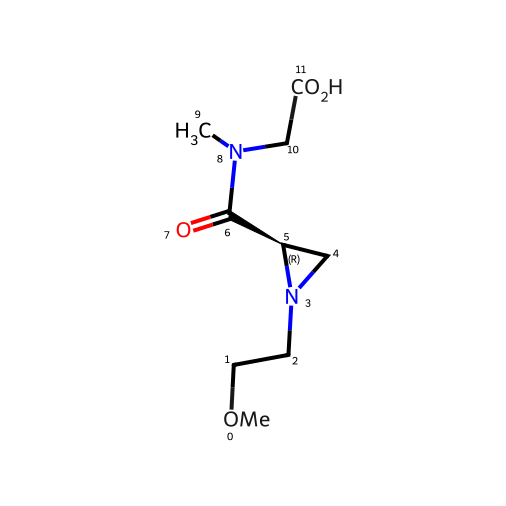 COCCN1C[C@@H]1C(=O)N(C)CC(=O)O